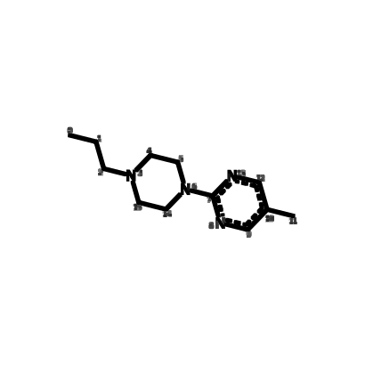 CCCN1CCN(c2ncc(C)cn2)CC1